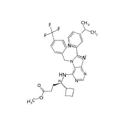 COC(=O)CC[C@@H](Nc1ncnc2nc(-c3cc(C(C)C)ccn3)n(Cc3ccc(C(F)(F)F)cc3)c12)C1CCC1